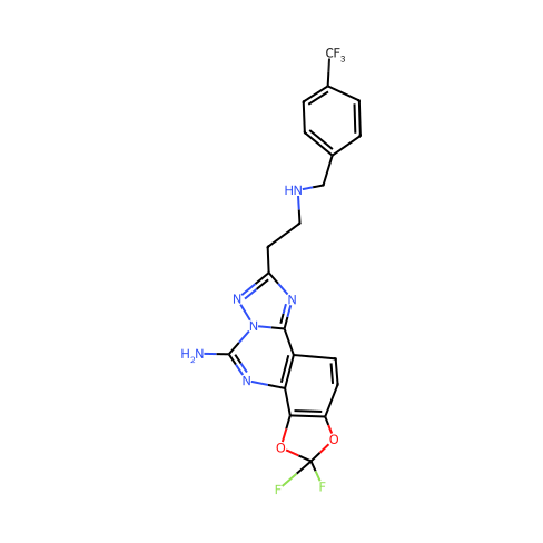 Nc1nc2c3c(ccc2c2nc(CCNCc4ccc(C(F)(F)F)cc4)nn12)OC(F)(F)O3